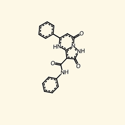 O=C(Nc1ccccc1)c1c(=O)[nH]n2c(=O)cc(-c3ccccc3)[nH]c12